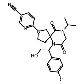 CC(C)N1CC(=O)N([C@@H](CO)c2ccc(Cl)cc2)[C@@]2(CCN(c3ccc(C#N)cn3)C2)C1=O